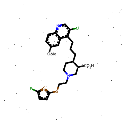 COc1ccc2ncc(Cl)c(CCCC3CCN(CCSc4ccc(F)s4)CC3C(=O)O)c2c1